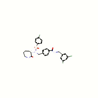 O=C(NCc1cc(Cl)cc(Cl)c1)c1ccc(CN([C@@H]2CCCCNC2=O)S(=O)(=O)c2ccc(Cl)cc2)cc1